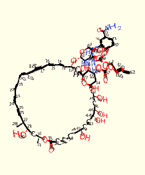 C=CCOC(=O)N[C@@H]1[C@H](O)[C@H](O[C@H]2/C=C/C=C/C=C/C=C/C=C/C=C/C=C/[C@H](C)[C@@H](O)C[C@H](C)OC(=O)CCC[C@H](O)CC[C@@H](O)[C@H](O)C[C@H](O)C[C@]3(O)C[C@H](OC(=O)OCC=C)[C@@H](NC(=O)Nc4cccc(C(N)=O)c4)[C@H](C2)O3)OC[C@H]1O